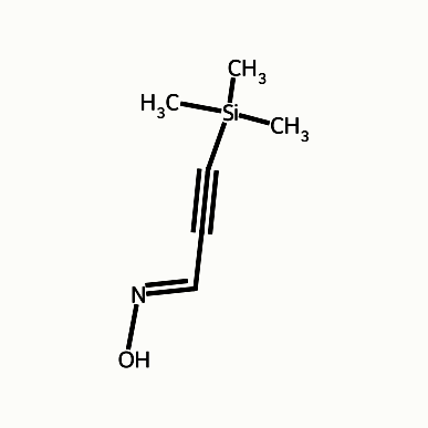 C[Si](C)(C)C#CC=NO